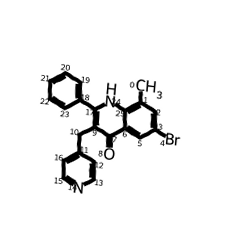 Cc1cc(Br)cc2c(=O)c(Cc3ccncc3)c(-c3ccccc3)[nH]c12